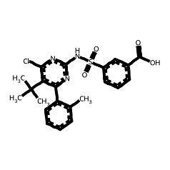 Cc1ccccc1-c1nc(NS(=O)(=O)c2cccc(C(=O)O)c2)nc(Cl)c1C(C)(C)C